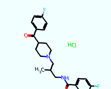 CC(CNC(=O)c1ccc(F)cc1)CN1CCC(C(=O)c2ccc(F)cc2)CC1.Cl